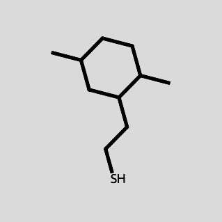 CC1CCC(C)C(CCS)C1